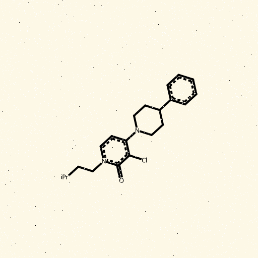 CC(C)CCn1ccc(N2CCC(c3ccccc3)CC2)c(Cl)c1=O